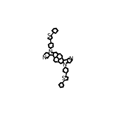 c1ccc(-c2cc(-c3ccc(-n4c5ccncc5c5c6ccc7cc8c(c9ccc(cc54)c6c79)c4cnccc4n8-c4ccc(-c5ccc(-c6ccccc6)s5)cc4)cc3)cs2)cc1